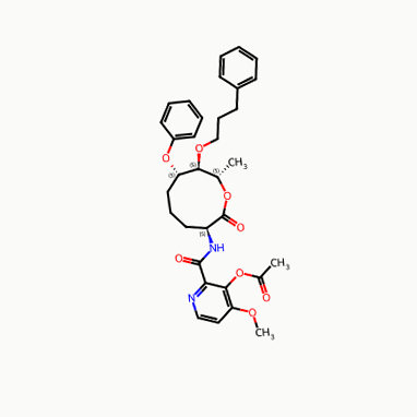 COc1ccnc(C(=O)N[C@H]2CCC[C@H](Oc3ccccc3)[C@@H](OCCCc3ccccc3)[C@H](C)OC2=O)c1OC(C)=O